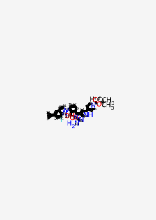 CC(C)(C)OC(=O)N1CC=C(c2cc3c(C4CC=CC(N5C=CC6C=C(C7CC7)C=C(F)C6N5O)=C4CO)nc(N)nc3[nH]2)CC1